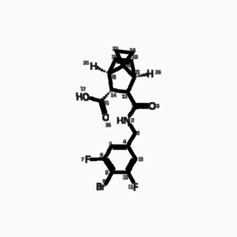 O=C(NCc1cc(F)c(Br)c(F)c1)C1[C@H](C(=O)O)[C@H]2C=C[C@@H]1C21CC1